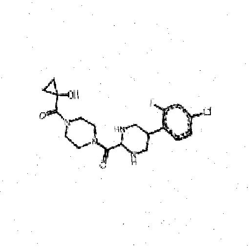 O=C(C1NCC(c2ccc(Cl)cc2F)CN1)N1CCN(C(=O)C2(O)CC2)CC1